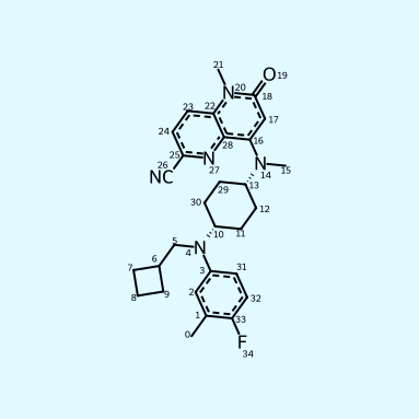 Cc1cc(N(CC2CCC2)[C@H]2CC[C@@H](N(C)c3cc(=O)n(C)c4ccc(C#N)nc34)CC2)ccc1F